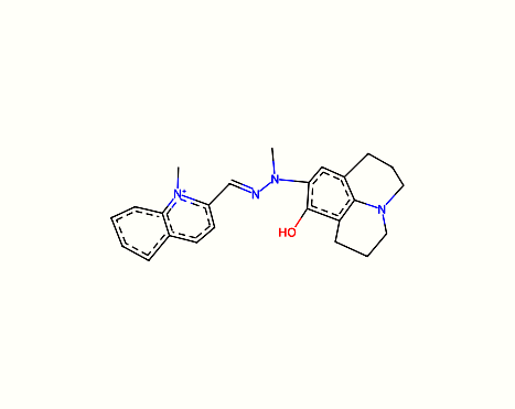 CN(/N=C/c1ccc2ccccc2[n+]1C)c1cc2c3c(c1O)CCCN3CCC2